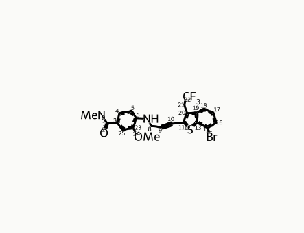 CNC(=O)c1ccc(NCC#Cc2sc3c(Br)cccc3c2CC(F)(F)F)c(OC)c1